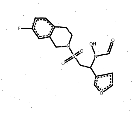 O=CN(O)C(CS(=O)(=O)N1CCc2ccc(F)cc2C1)c1ccoc1